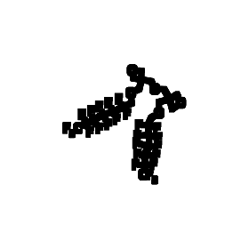 FC(F)(F)C(F)(F)C(F)(F)C(F)(F)C(F)(F)C(F)(F)COCC1(COCC2(COCC(F)(F)C(F)(F)C(F)(F)C(F)(F)C(F)(F)C(F)(F)F)COC2)COC1